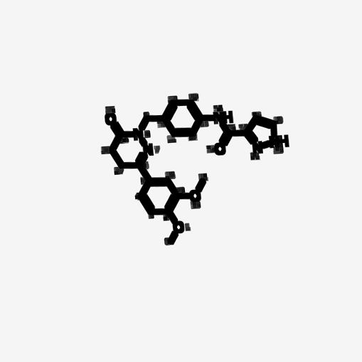 COc1ccc(C2=NN(Cc3ccc(NC(=O)c4cc[nH]n4)cc3)C(=O)CC2)cc1OC